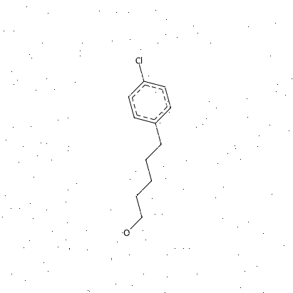 [O]CCCCCc1ccc(Cl)cc1